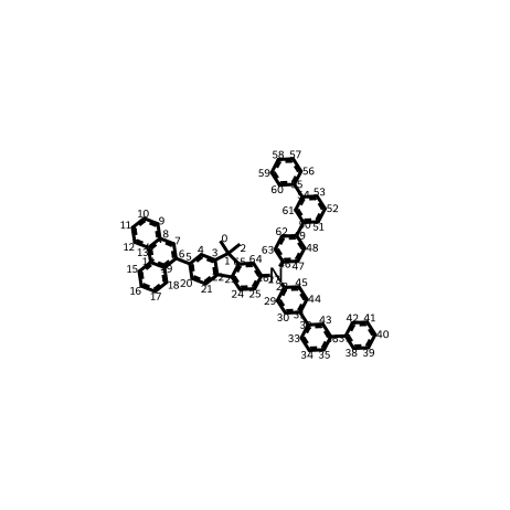 CC1(C)c2cc(-c3cc4ccccc4c4ccccc34)ccc2-c2ccc(N(c3ccc(-c4cccc(-c5ccccc5)c4)cc3)c3ccc(-c4cccc(-c5ccccc5)c4)cc3)cc21